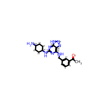 CC(=O)c1cccc(CNc2nc(NC3CCC(N)CC3)nc3[nH]nnc23)c1